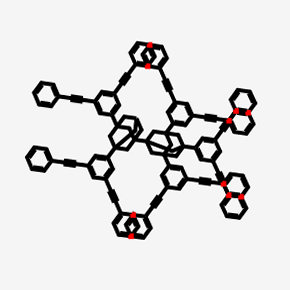 C(#Cc1cc(C#Cc2ccccc2)cc(C23CC4CC(c5cc(C#Cc6ccccc6)cc(C#Cc6ccccc6)c5)(C2)CC(C25CC6(c7cc(C#Cc8ccccc8)cc(C#Cc8ccccc8)c7)CC(c7cc(C#Cc8ccccc8)cc(C#Cc8ccccc8)c7)(CC(c7cc(C#Cc8ccccc8)cc(C#Cc8ccccc8)c7)(C6)C2)C5)(C4)C3)c1)c1ccccc1